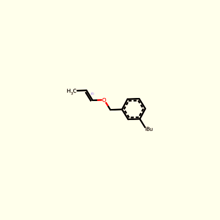 C/C=C/OCc1cccc(C(C)CC)c1